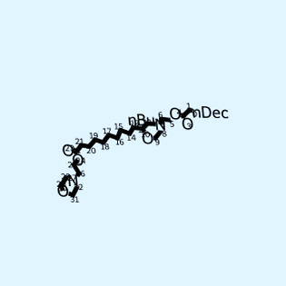 CCCCCCCCCCCC(=O)OCCN1CCOC(C(CCCC)CCCCCCCCC(=O)OCCN2CCOCC2)C1